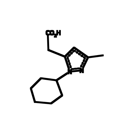 Cc1cc(CC(=O)O)n(C2CCCCC2)n1